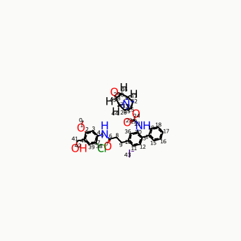 COc1cc(NC(=O)CCc2ccc(-c3ccccc3)c(NC(=O)O[C@@H]3C[C@@H]4[C@H]5O[C@H]5[C@H](C3)[N+]4(C)C)c2)c(Cl)cc1CO.[I-]